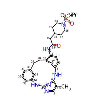 Cc1cnc2nc1Nc1ccc(NC(=O)CC3CCN(S(=O)(=O)C(C)C)CC3)c(c1)CCc1cccc(c1)N2